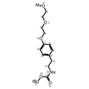 COCCOCCOc1ccc(CCNC(=O)OC(C)(C)C)cc1